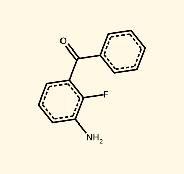 Nc1cccc(C(=O)c2ccccc2)c1F